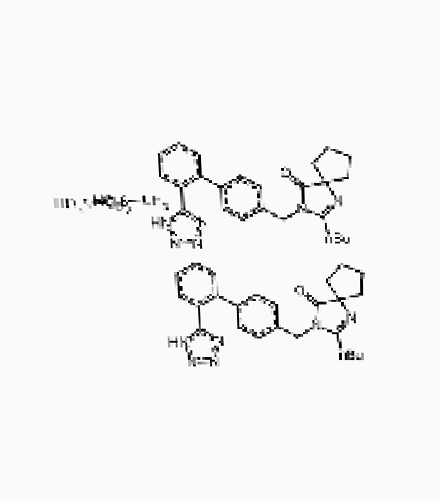 CCCCC1=NC2(CCCC2)C(=O)N1Cc1ccc(-c2ccccc2-c2nnn[nH]2)cc1.CCCCC1=NC2(CCCC2)C(=O)N1Cc1ccc(-c2ccccc2-c2nnn[nH]2)cc1.CS(=O)(=O)O.CS(=O)(=O)O